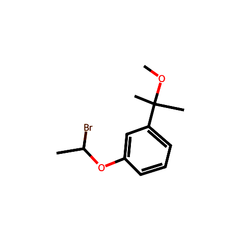 COC(C)(C)c1cccc(OC(C)Br)c1